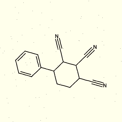 N#CC1CCC(c2ccccc2)C(C#N)C1C#N